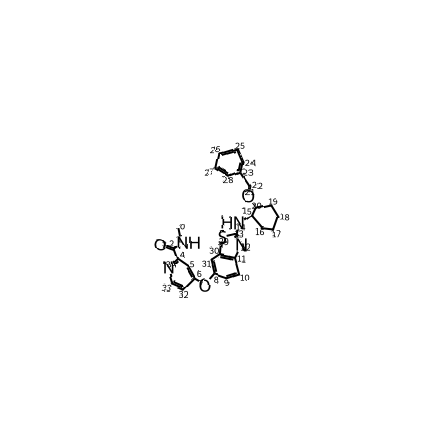 CNC(=O)c1cc(Oc2ccc3nc(N[C@@H]4CCCC[C@H]4OCc4ccccc4)sc3c2)ccn1